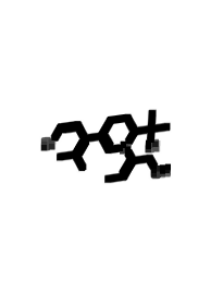 C/C=C(/CO)N1C=C(C(/C=C\CC)=C(C)C)CCC1C(C)(C)CC